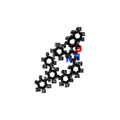 c1ccc(-c2cc(-c3ccccc3)cc(-c3cccc(-c4cccc(-c5nc(-c6ccccc6)c6c(n5)oc5c7ccccc7ccc56)c4)c3)c2)cc1